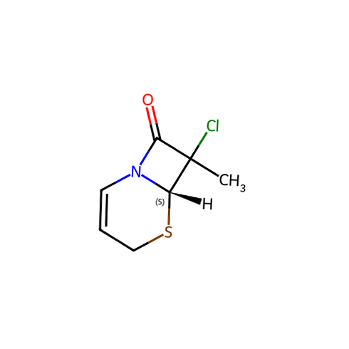 CC1(Cl)C(=O)N2C=CCS[C@H]21